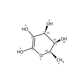 C[C@H]1OC(O)=C(O)[C@@H](O)[C@H]1O